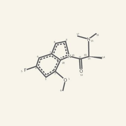 COc1cc(F)cc2ccn(C(=O)[C@H](C)N(C)C)c12